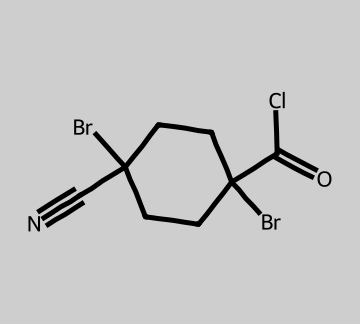 N#CC1(Br)CCC(Br)(C(=O)Cl)CC1